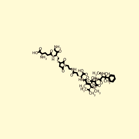 CN[C@H](C(=O)NC(C(=O)N(C)[C@H](/C=C(\C)C(=O)N[C@H](CCC(=O)NCCN1C(=O)CC(SC[C@H](NC(=O)CC[C@H](N)C(=O)O)C(=O)CN)C1=O)C(=O)O)C(C)C)C(C)(C)C)C(C)(C)c1ccccc1